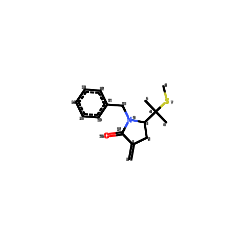 C=C1CC(C(C)(C)SC)N(Cc2ccccc2)C1=O